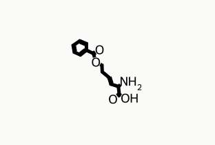 NC(/C=C/CCOC(=O)c1ccccc1)C(=O)O